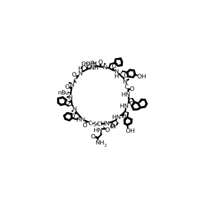 CCCC[C@H]1C(=O)N(C)CC(=O)N[C@@H](CC(=O)O)C(=O)N[C@@H](C(C)C)C(=O)N(C)C(Cc2ccccc2)C(=O)N[C@@H](Cc2ccc(O)cc2)C(=O)N(C)CC(=O)N[C@@H](Cc2cccc3ccccc23)C(=O)N[C@@H](Cc2ccc(O)cc2)C(=O)N[C@@H](CC(C)C)C(=O)N[C@H](C(=O)NCC(N)=O)CSCC(=O)N[C@@H](Cc2ccccc2)C(=O)N(C)[C@@H](Cc2ccccc2)C(=O)N1C